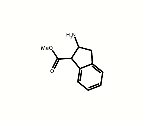 COC(=O)C1c2ccccc2CC1N